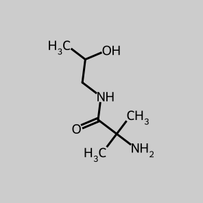 CC(O)CNC(=O)C(C)(C)N